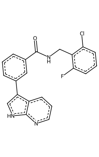 O=C(NCc1c(F)cccc1Cl)c1cccc(-c2c[nH]c3ncccc23)c1